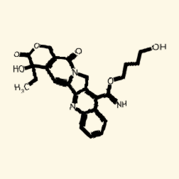 CCC1(O)C(=O)OCc2c1cc1n(c2=O)Cc2c-1nc1ccccc1c2C(=N)OCCCCO